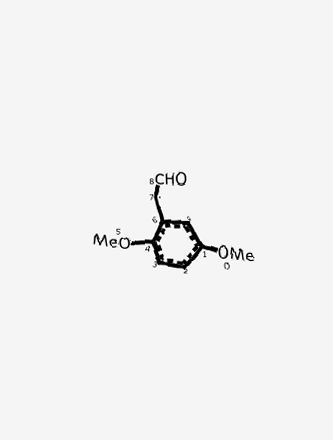 COc1ccc(OC)c([CH]C=O)c1